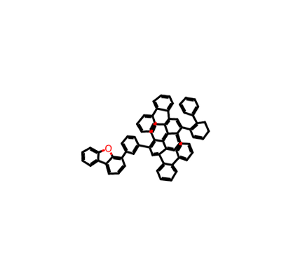 C1=CC(c2cc(-c3ccccc3-c3ccccc3)c3ccc4c(-c5cccc(-c6cccc7c6oc6ccccc67)c5)cc(-c5ccccc5-c5ccccc5)c5ccc2c3c45)=C(c2ccccc2)CC1